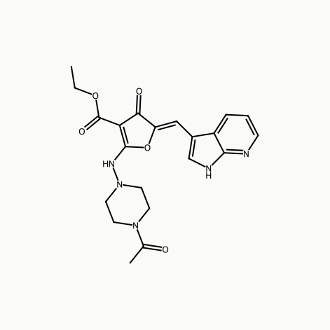 CCOC(=O)C1=C(NN2CCN(C(C)=O)CC2)OC(=Cc2c[nH]c3ncccc23)C1=O